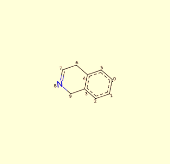 [c]1ccc2c(c1)CC=NC2